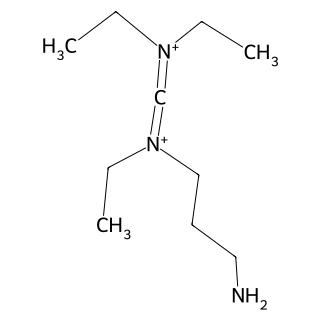 CC[N+](=C=[N+](CC)CCCN)CC